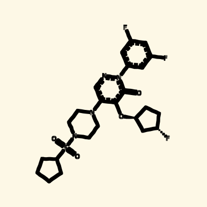 O=c1c(O[C@H]2CC[C@H](F)C2)c(N2CCN(S(=O)(=O)C3CCCC3)CC2)cnn1-c1cc(F)cc(F)c1